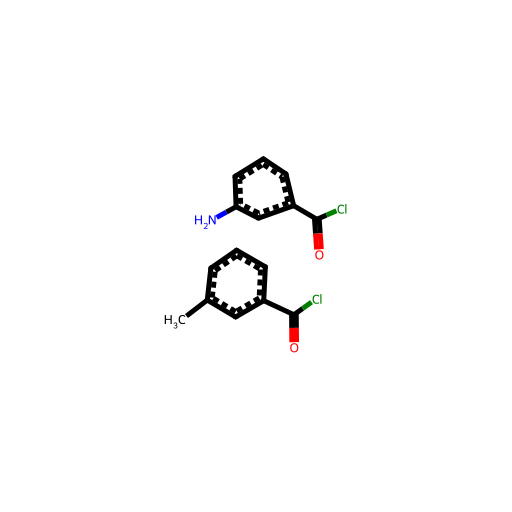 Cc1cccc(C(=O)Cl)c1.Nc1cccc(C(=O)Cl)c1